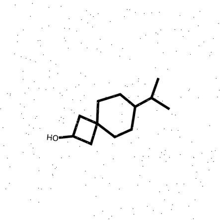 CC(C)C1CCC2(CC1)CC(O)C2